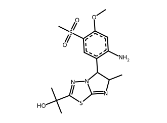 COc1cc(N)c(C2C(C)N=C3SC(C(C)(C)O)=NN32)cc1S(C)(=O)=O